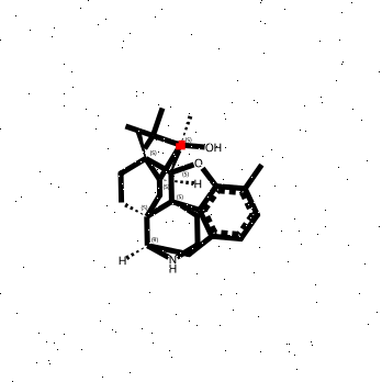 Cc1ccc2c3c1O[C@H]1[C@@]4(C)CC[C@@]5(C[C@@H]4[C@](C)(O)C(C)(C)C)[C@@H](C2)NCC[C@]315